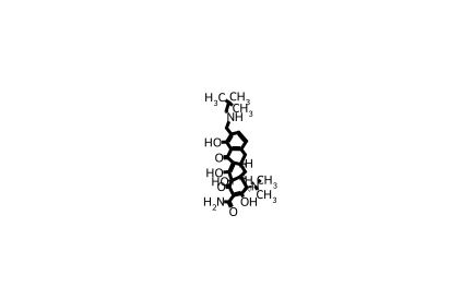 CN(C)[C@H]1C(O)=C(C(N)=O)C(=O)[C@@]2(O)C(O)=C3C(=O)c4c(ccc(CNCC(C)(C)C)c4O)C[C@H]3C[C@@H]12